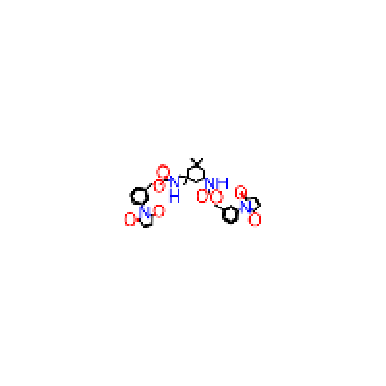 CC1(C)CC(NC(=O)OCc2cccc(N3C(=O)C=CC3=O)c2)CC(C)(CNC(=O)OCc2cccc(N3C(=O)C=CC3=O)c2)C1